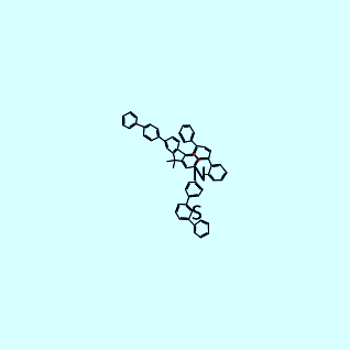 CC1(C)c2cc(-c3ccc(-c4ccccc4)cc3)ccc2-c2ccc(N(c3ccc(-c4cccc5c4sc4ccccc45)cc3)c3ccccc3-c3ccc(-c4ccccc4)cc3)cc21